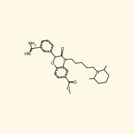 COC(=O)c1ccc2c(c1)N(CCCCCN1C(C)CCCC1C)C(=O)C(c1cccc(C(=N)N)c1)O2